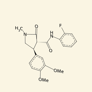 COc1ccc([C@H]2CN(C)C(=O)[C@@H]2C(=O)Nc2ccccc2F)cc1OC